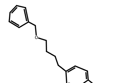 Cc1ccc(CCCCOCc2ccccc2)cc1